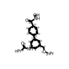 CCCOCc1cc(NC(=O)CCC)cc(-c2ccc(C(=O)NO)cc2)c1